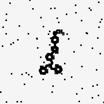 COc1ccc(-c2cnc(-c3cccc(CN(Cc4ncccn4)Cc4ncccn4)n3)s2)cc1